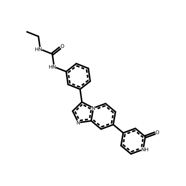 CCNC(=O)Nc1cccc(-c2cnc3cc(-c4cc[nH]c(=O)c4)ccn23)c1